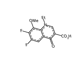 CCn1cc(C(=O)O)c(=O)c2cc(F)c(F)c(OC)c21